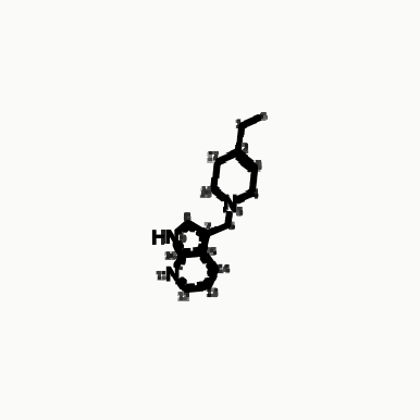 CCC1=CCN(Cc2c[nH]c3ncccc23)CC1